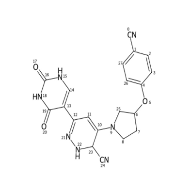 N#Cc1ccc(OC2CCN(C3=CC(c4c[nH]c(=O)[nH]c4=O)=NNC3C#N)C2)cc1